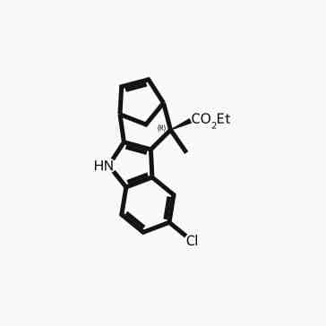 CCOC(=O)[C@@]1(C)c2c([nH]c3ccc(Cl)cc23)C2C=CC1C2